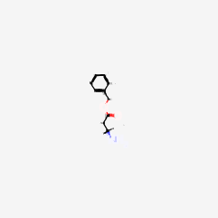 CC(=O)OC(C)(N)CC(=O)OCc1ccccc1